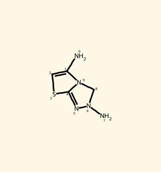 NC1=CSC2=NN(N)CN12